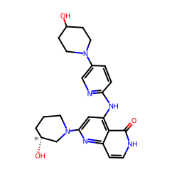 O=c1[nH]ccc2nc(N3CCC[C@@H](O)C3)cc(Nc3ccc(N4CCC(O)CC4)cn3)c12